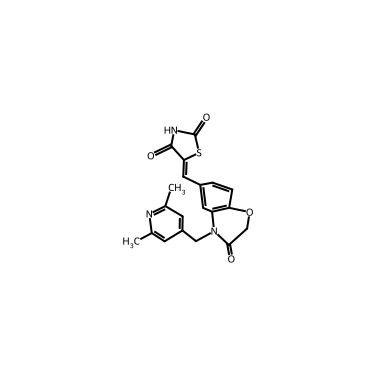 Cc1cc(CN2C(=O)COc3ccc(/C=C4\SC(=O)NC4=O)cc32)cc(C)n1